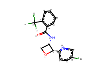 O=C(N[C@H]1CO[C@H]1c1ccc(F)cn1)c1ccccc1C(F)(F)F